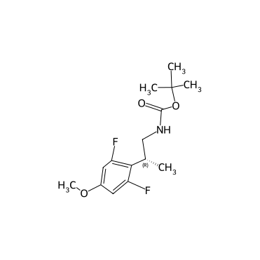 COc1cc(F)c([C@@H](C)CNC(=O)OC(C)(C)C)c(F)c1